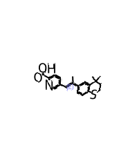 C/C(=C\c1ccc(C(=O)O)nc1)c1ccc2c(c1)C(C)(C)CCS2